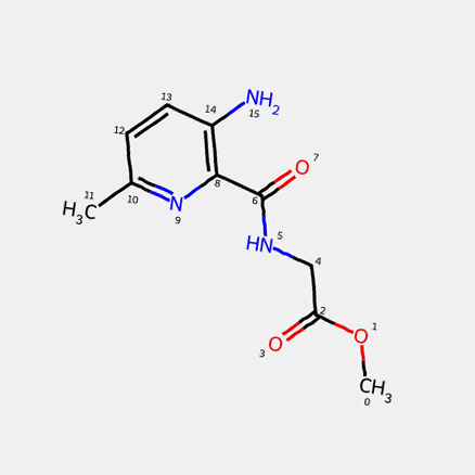 COC(=O)CNC(=O)c1nc(C)ccc1N